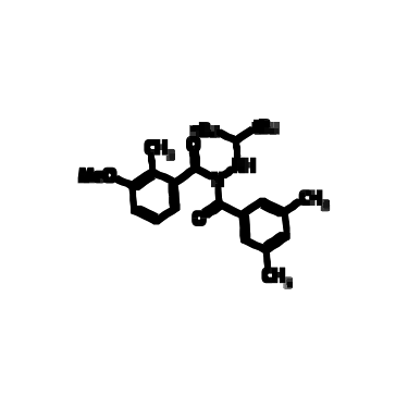 CCCCC(NN(C(=O)c1cc(C)cc(C)c1)C(=O)c1cccc(OC)c1C)C(C)(C)C